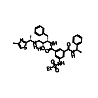 CCS(=O)(=O)Nc1cc(C(=O)N[C@@H](Cc2ccccc2)[C@H](O)CN[C@@H](C)c2nc(C)cs2)cc(C(=O)N[C@H](C)c2ccccc2)c1